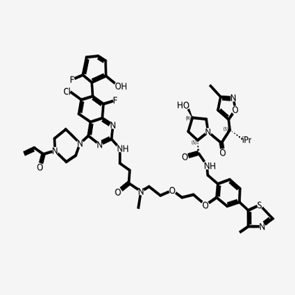 C=CC(=O)N1CCN(c2nc(NCCC(=O)N(C)CCOCCOc3cc(-c4scnc4C)ccc3CNC(=O)[C@@H]3C[C@@H](O)CN3C(=O)[C@H](c3cc(C)no3)C(C)C)nc3c(F)c(-c4c(O)cccc4F)c(Cl)cc23)CC1